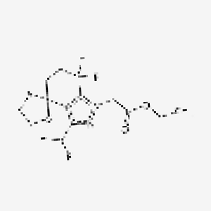 CCOC(=O)Cn1nc(C(F)F)c2c1C(F)(F)CCC21SCCS1